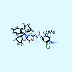 COc1cc(N)c(Cl)cc1C(=O)NCC1CN(C(c2ccccc2)(c2ccccc2)c2ccccc2)CCO1